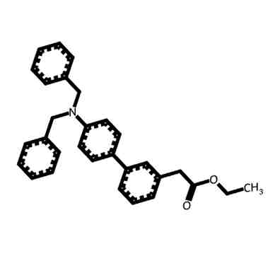 CCOC(=O)Cc1cccc(-c2ccc(N(Cc3ccccc3)Cc3ccccc3)cc2)c1